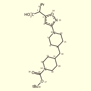 CC(C)C(C(=O)O)c1cc(N2CCC(CC3CCN(C(=O)OC(C)(C)C)CC3)CC2)no1